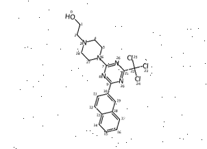 OCCN1CCN(c2nc(-c3ccc4ccccc4c3)nc(C(Cl)(Cl)Cl)n2)CC1